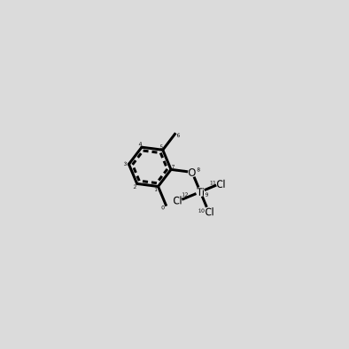 Cc1cccc(C)c1[O][Ti]([Cl])([Cl])[Cl]